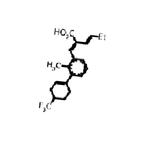 CC/C=C/C(=C\c1cccc(C2=CCC(C(F)(F)F)CC2)c1C)C(=O)O